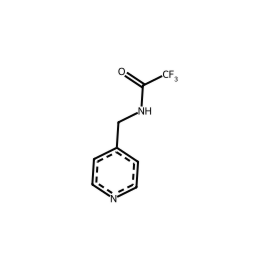 O=C(NCc1ccncc1)C(F)(F)F